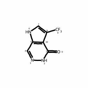 O=c1[nH]ncc2[nH]cc(C(F)(F)F)c12